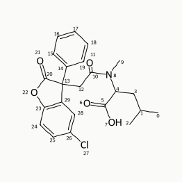 CC(C)CC(C(=O)O)N(C)C(=O)CC1(c2ccccc2)C(=O)Oc2ccc(Cl)cc21